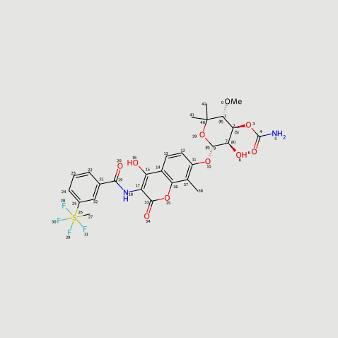 CO[C@@H]1[C@@H](OC(N)=O)[C@@H](O)[C@H](Oc2ccc3c(O)c(NC(=O)c4cccc(S(C)(F)(F)(F)F)c4)c(=O)oc3c2C)OC1(C)C